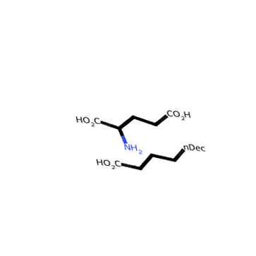 CCCCCCCCCCCCCC(=O)O.NC(CCC(=O)O)C(=O)O